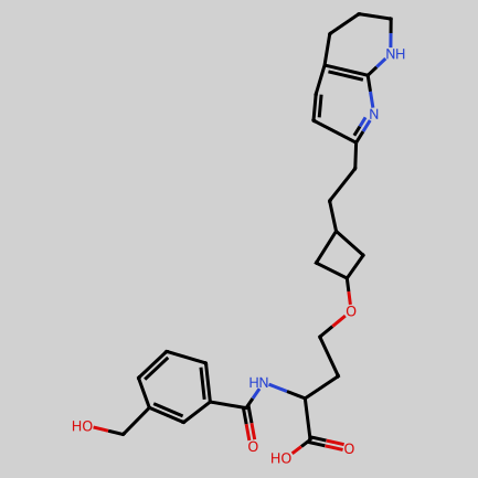 O=C(NC(CCOC1CC(CCc2ccc3c(n2)NCCC3)C1)C(=O)O)c1cccc(CO)c1